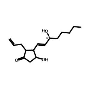 C=CCC1C(=O)CC(O)C1C=C[C@@H](O)CCCCC